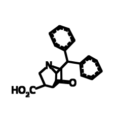 O=C(O)C1CN2CCC1C(=O)C2C(c1ccccc1)c1ccccc1